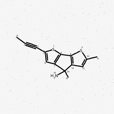 CC#Cc1cc2c(s1)-c1sc(C)cc1C2(C)N